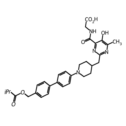 Cc1nc(CC2CCN(c3ccc(-c4ccc(COC(=O)C(C)C)cc4)cc3)CC2)nc(C(=O)NCC(=O)O)c1O